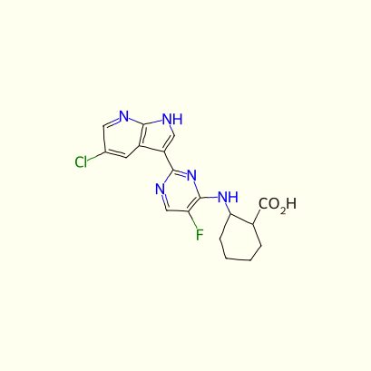 O=C(O)C1CCCCC1Nc1nc(-c2c[nH]c3ncc(Cl)cc23)ncc1F